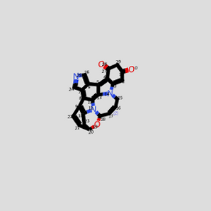 O=C1C=c2c(c3c4c(c5c6c7n8c5c3n2C/C=C\C8OC(C=C6)C7)C=NC=4)C(=O)C1